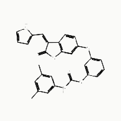 Cc1cc(C)cc(NC(=O)Nc2cccc(Nc3ccc4c(c3)NC(=O)/C4=C\c3ccc[nH]3)c2)c1